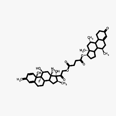 C=C1C=C[C@@]2(C)C(=C1)CCC1C3C[C@H](C)[C@](O)(C(=O)COC(=O)CCC(=O)O[C@H]4CCC5C6C(C7CCC(=O)C=C7C[C@H]6C)[C@@H](C)C[C@@]54C)[C@@]3(C)C[C@H](O)[C@@]12F